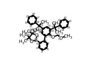 COCOc1c(-c2ccccc2B2OC(C)(C)C(C)(C)O2)cc(C(C)(C)c2ccccc2)cc1C(C)(C)c1ccccc1